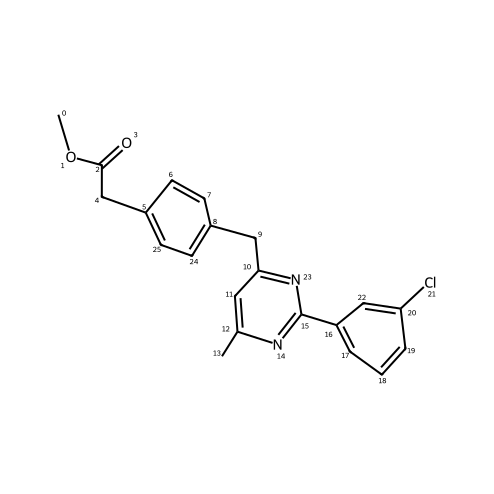 COC(=O)Cc1ccc(Cc2cc(C)nc(-c3cccc(Cl)c3)n2)cc1